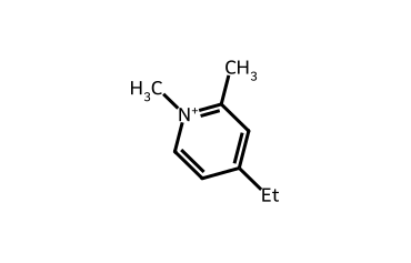 CCc1cc[n+](C)c(C)c1